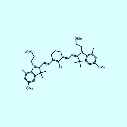 COCCN1/C(=C/C=C2\CCCC(/C=C/C3=[N+](CCOC)c4c(C)cc(OC)cc4C3(C)C)=C2Cl)C(C)(C)c2cc(OC)cc(C)c21